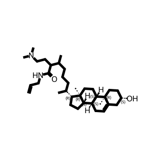 C=CCNC(=O)C(CCN(C)C)C(C)CCCC(C)[C@H]1CC[C@H]2[C@@H]3CC=C4C[C@@H](O)CC[C@]4(C)[C@H]3CC[C@]12C